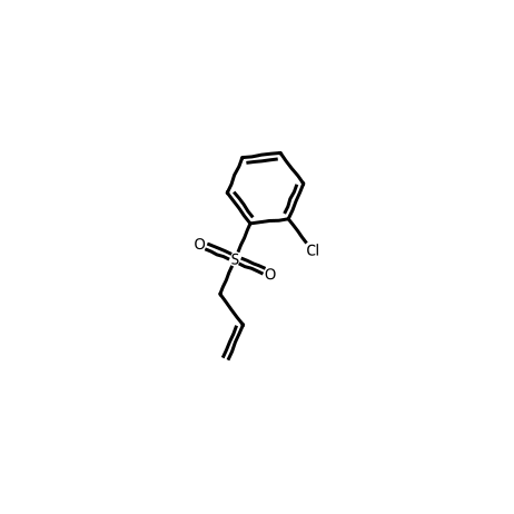 C=CCS(=O)(=O)c1ccccc1Cl